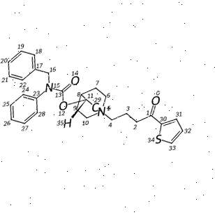 O=C(CCC[N+]12CCC(CC1)[C@@H](OC(=O)N(Cc1ccccc1)c1ccccc1)C2)c1cccs1